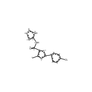 Cc1nc(-c2ccc(Cl)cc2)sc1C(=O)Nc1nnn[nH]1